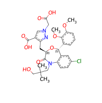 COc1cccc([C@H]2O[C@H](Cc3nn(CC(=O)O)cc3C(=O)O)C(=O)N(CC(C)(C)CO)c3ccc(Cl)cc32)c1OC